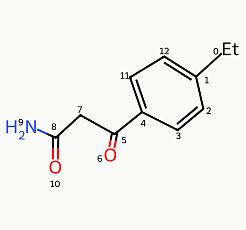 CCc1ccc(C(=O)CC(N)=O)cc1